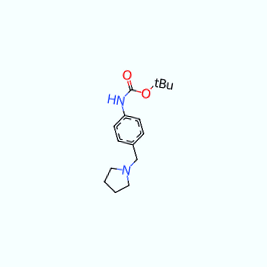 CC(C)(C)OC(=O)Nc1ccc(CN2CCCC2)cc1